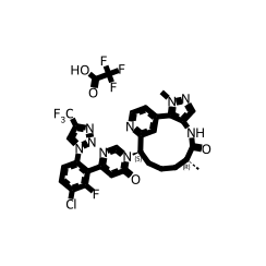 C[C@@H]1CCC[C@H](n2cnc(-c3c(-n4cc(C(F)(F)F)nn4)ccc(Cl)c3F)cc2=O)c2cc(ccn2)-c2c(cnn2C)NC1=O.O=C(O)C(F)(F)F